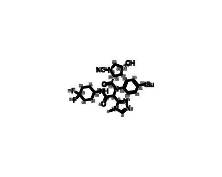 Cn1cnnc1C(C(=O)NC1CCC(F)(F)CC1)N(C(=O)[C@H]1C[C@@H](O)CN1C#N)c1ccc(C(C)(C)C)cc1